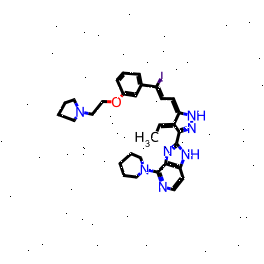 C\C=c1/c(-c2nc3c(N4CCCCC4)nccc3[nH]2)n[nH]/c1=C/C=C(\I)c1cccc(OCCN2CCCC2)c1